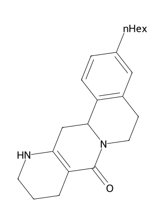 CCCCCCc1ccc2c(c1)CCN1C(=O)C3=C(CC21)NCCC3